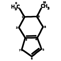 CC1CC2=C(C=C[CH]2)CC1C